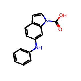 O=C(O)n1ccc2ccc(Nc3ccccc3)cc21